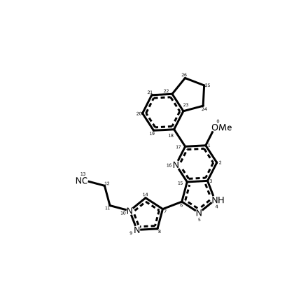 COc1cc2[nH]nc(-c3cnn(CCC#N)c3)c2nc1-c1cccc2c1CCC2